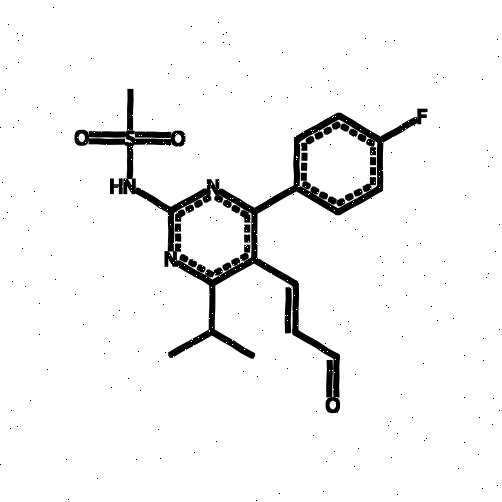 CC(C)c1nc(NS(C)(=O)=O)nc(-c2ccc(F)cc2)c1C=CC=O